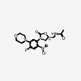 CC(=O)NC[C@H]1CN(c2cc(N3CCOCC3)c(F)cc2[N+](=O)[O-])C(=O)O1